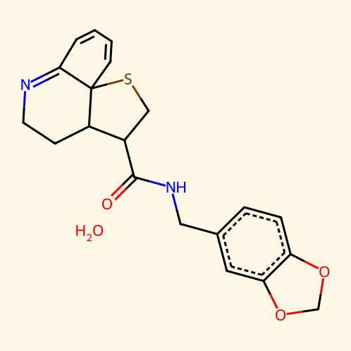 O.O=C(NCc1ccc2c(c1)OCO2)C1CSC23C=CC=CC2=NCCC13